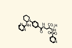 O=C(NC[C@H](NS(=O)(=O)c1cccnc1)C(=O)O)c1ccc(N2CCCCC2Nc2ncccn2)cc1